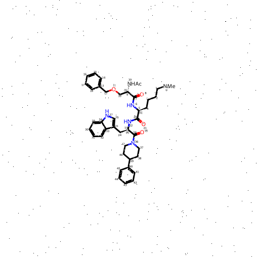 CNCCCC[C@H](NC(=O)[C@H](COCc1ccccc1)NC(C)=O)C(=O)N[C@H](Cc1c[nH]c2ccccc12)C(=O)N1CCC(c2ccccc2)CC1